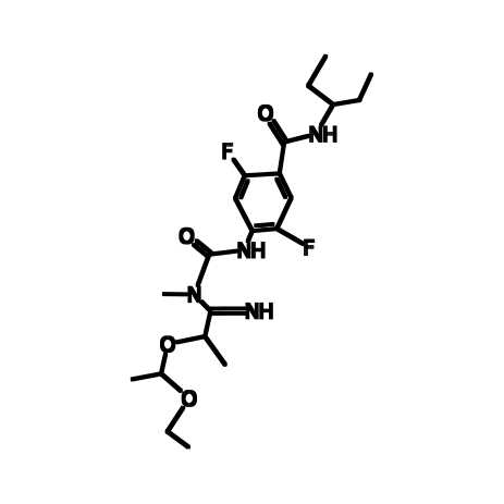 CCOC(C)OC(C)C(=N)N(C)C(=O)Nc1cc(F)c(C(=O)NC(CC)CC)cc1F